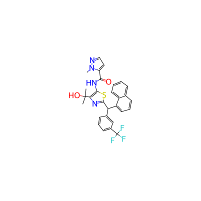 Cn1nccc1C(=O)Nc1sc(C(c2cccc(C(F)(F)F)c2)c2cccc3ccccc23)nc1C(C)(C)O